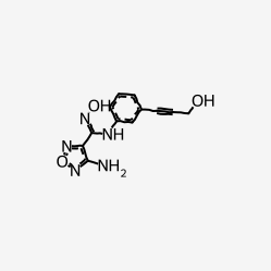 Nc1nonc1/C(=N/O)Nc1cccc(C#CCO)c1